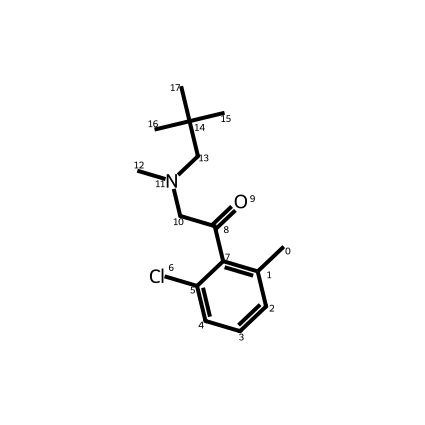 Cc1cccc(Cl)c1C(=O)CN(C)CC(C)(C)C